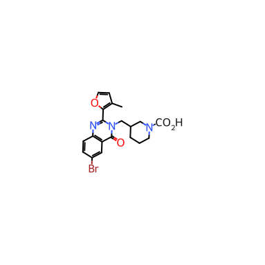 Cc1ccoc1-c1nc2ccc(Br)cc2c(=O)n1CC1CCCN(C(=O)O)C1